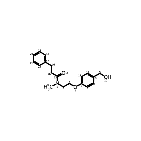 CN(CCOc1ccc(CO)cc1)C(=O)CCc1ccccc1